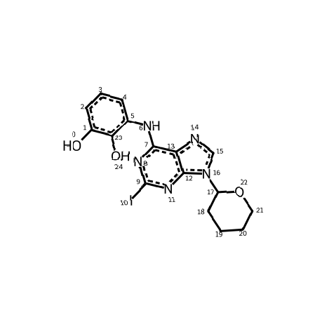 Oc1cccc(Nc2nc(I)nc3c2ncn3C2CCCCO2)c1O